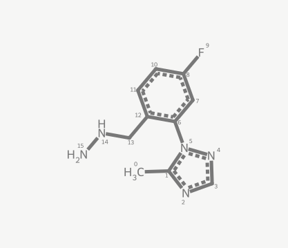 Cc1ncnn1-c1cc(F)ccc1CNN